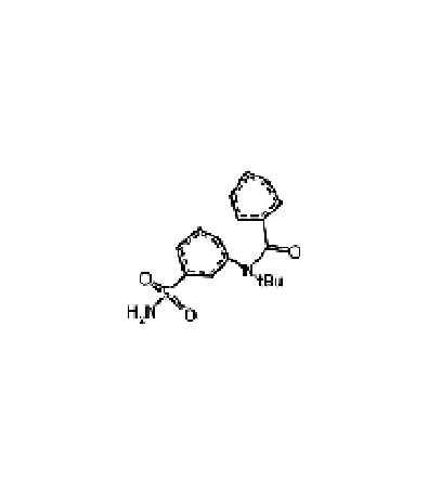 CC(C)(C)N(C(=O)c1ccccc1)c1cccc(S(N)(=O)=O)c1